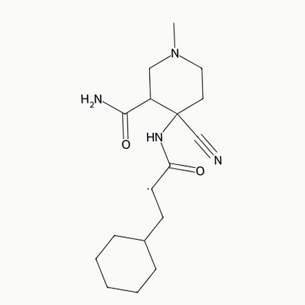 CN1CCC(C#N)(NC(=O)[CH]CC2CCCCC2)C(C(N)=O)C1